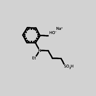 CCN(CCCS(=O)(=O)O)c1ccccc1C.[Na+].[OH-]